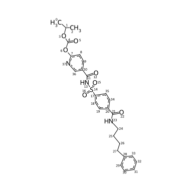 CC(C)OC(=O)Oc1ccc(C(=O)NS(=O)(=O)c2ccc(C(=O)NCCCCc3ccccc3)cc2)cn1